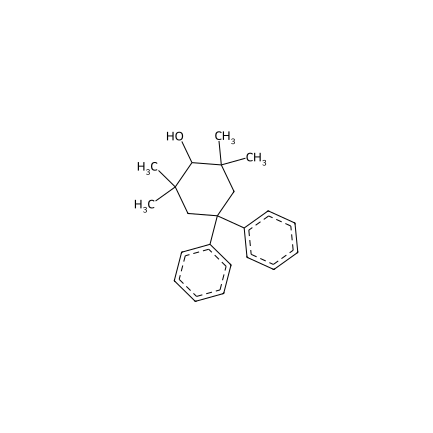 CC1(C)CC(c2ccccc2)(c2ccccc2)CC(C)(C)C1O